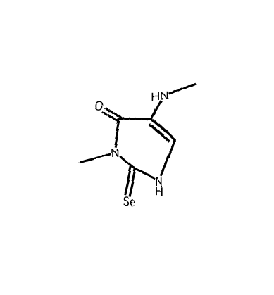 CNc1c[nH]c(=[Se])n(C)c1=O